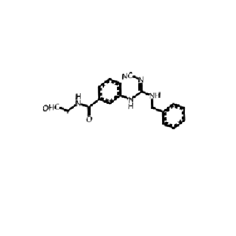 N#CN=C(NCc1ccccc1)Nc1cccc(C(=O)N[CH]C=O)c1